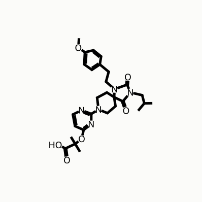 COc1ccc(CCN2C(=O)N(CC(C)C)C(=O)C23CCN(c2nccc(OC(C)(C)C(=O)O)n2)CC3)cc1